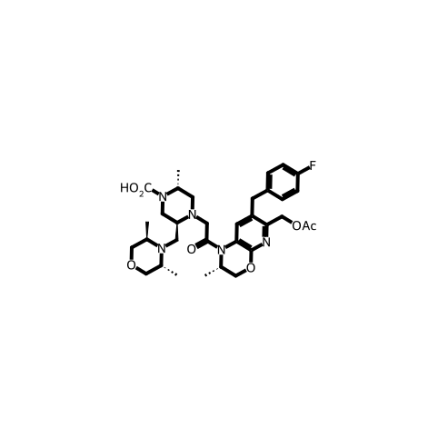 CC(=O)OCc1nc2c(cc1Cc1ccc(F)cc1)N(C(=O)CN1C[C@@H](C)N(C(=O)O)C[C@@H]1CN1[C@H](C)COC[C@H]1C)[C@@H](C)CO2